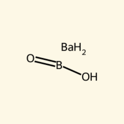 O=BO.[BaH2]